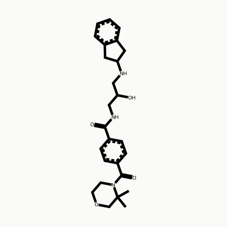 CC1(C)COCCN1C(=O)c1ccc(C(=O)NCC(O)CNC2Cc3ccccc3C2)cc1